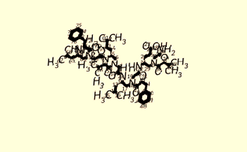 CC(C)CC[C@@H](CN(CC(=O)N[C@@H](CC(C)C)CN(CC(=O)N[C@@H](CCC(=O)O)CN(CC(N)=O)C(=O)CC(C)C)C(=O)CCc1ccccc1)C(=O)CC(C)C)NC(=O)CN(C[C@@H](N)CC(C)C)C(=O)CCc1ccccc1